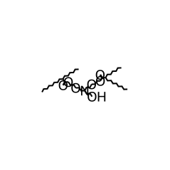 CCCCCCCCC(CCCCCC)C(=O)OCCOCCN(CCO)CCOCCOC(=O)C(CCCCCC)CCCCCCCC